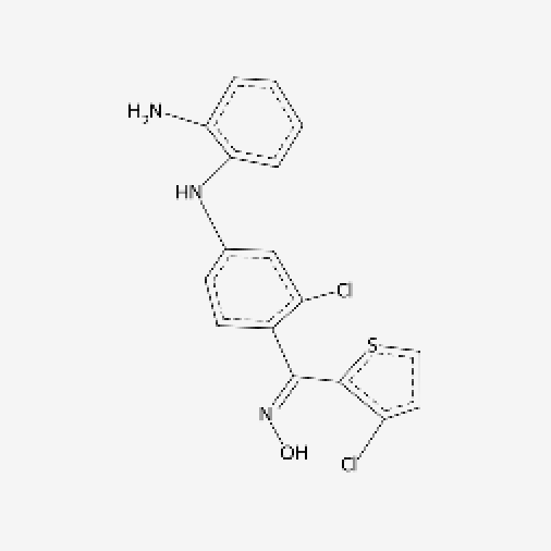 Nc1ccccc1Nc1ccc(/C(=N/O)c2sccc2Cl)c(Cl)c1